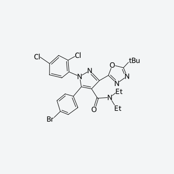 CCN(CC)C(=O)c1c(-c2nnc(C(C)(C)C)o2)nn(-c2ccc(Cl)cc2Cl)c1-c1ccc(Br)cc1